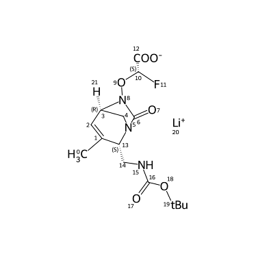 CC1=C[C@@H]2CN(C(=O)N2O[C@@H](F)C(=O)[O-])[C@@H]1CNC(=O)OC(C)(C)C.[Li+]